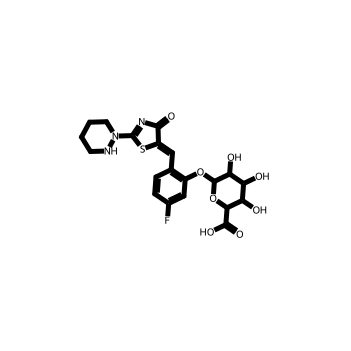 O=C1N=C(N2CCCCN2)SC1=Cc1ccc(F)cc1OC1OC(C(=O)O)C(O)C(O)C1O